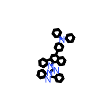 c1ccc(N(c2ccccc2)c2ccc(-c3cc4c5ccccc5n(-c5nc6ccccc6c6nc7ccccc7n56)c4c4ccccc34)cc2)cc1